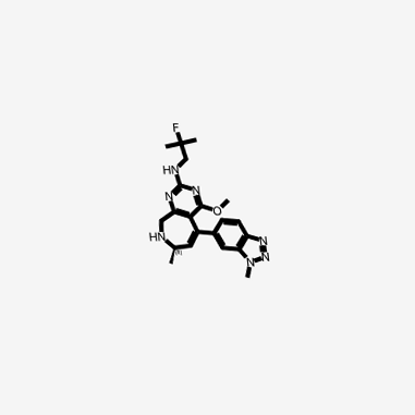 COc1nc(NCC(C)(C)F)nc2c1C(c1ccc3nnn(C)c3c1)=C[C@@H](C)NC2